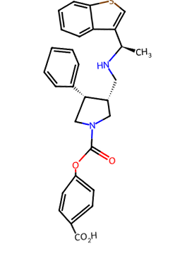 C[C@@H](NC[C@@H]1CN(C(=O)Oc2ccc(C(=O)O)cc2)C[C@@H]1c1ccccc1)c1csc2ccccc12